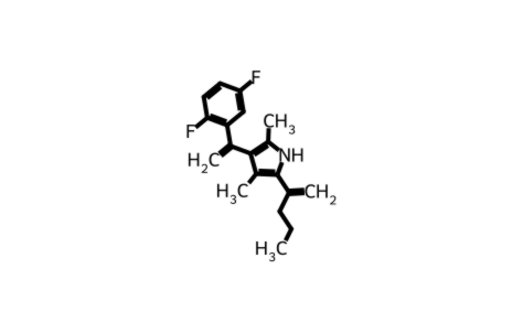 C=C(CCC)c1[nH]c(C)c(C(=C)c2cc(F)ccc2F)c1C